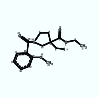 CCOC(=O)C1(CI)CCN(C(=O)c2ccccc2OC)C1